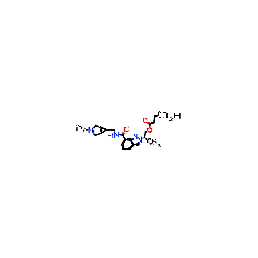 CC(C)N1CC2C(CNC(=O)c3cccc4cn(C(C)COC(=O)/C=C/C(=O)O)nc34)C2C1